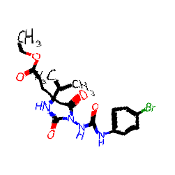 CCOC(=O)CCC1(C(C)C)NC(=O)N(NC(=O)Nc2ccc(Br)cc2)C1=O